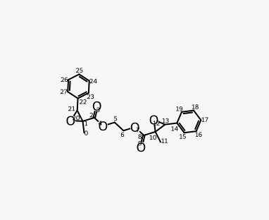 CC1(C(=O)OCCOC(=O)C2(C)OC2c2ccccc2)OC1c1ccccc1